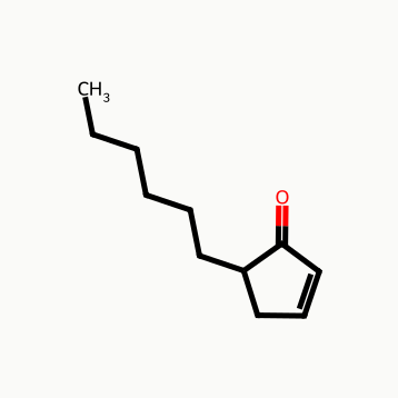 CCCCCCC1CC=CC1=O